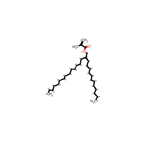 C=C(C)C(=O)OCC(CCCCCCCCCCCC)CCCCCCCCCCCCCC